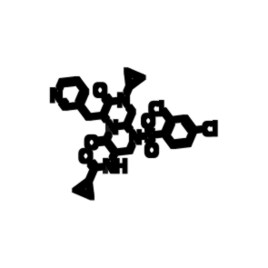 O=C(NC1CN(S(=O)(=O)c2ccc(Cl)cc2Cl)C2CN(C3CC3)C(=O)C(Cc3cccnc3)N2C1=O)C1CC1